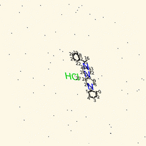 Cc1ccccc1N1CCC(N2CCN(C(C)c3ccccc3)CC2)CC1.Cl